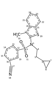 Cc1c(N(CCC2CC2)S(=O)(=O)c2cccc(C#N)c2)sc2ccccc12